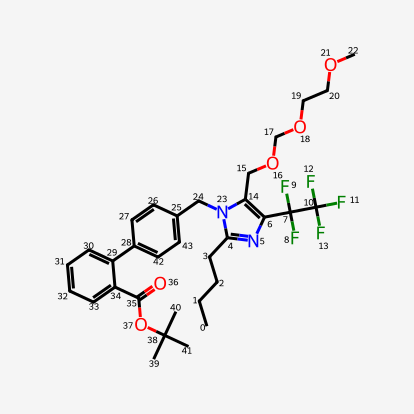 CCCCc1nc(C(F)(F)C(F)(F)F)c(COCOCCOC)n1Cc1ccc(-c2ccccc2C(=O)OC(C)(C)C)cc1